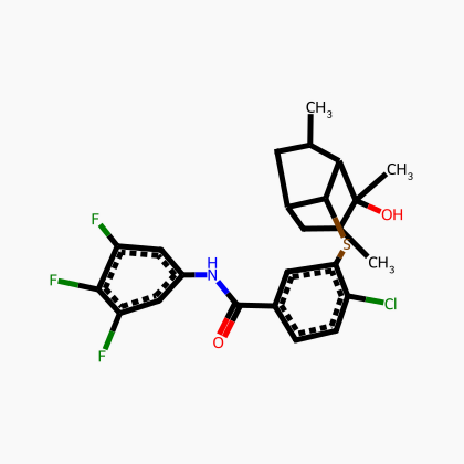 CC1CC2CC(C)C(C)(O)C1C2Sc1cc(C(=O)Nc2cc(F)c(F)c(F)c2)ccc1Cl